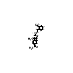 CC1(c2ccc(C(N)=O)cc2)SC(NCCc2ccccc2C(F)(F)F)=NC1=O